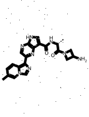 Cc1ccc2c(-c3cnc4[nH]cc(C(=O)N[C@H](C)C(=O)N5CC(N)C5)c4n3)ncn2c1